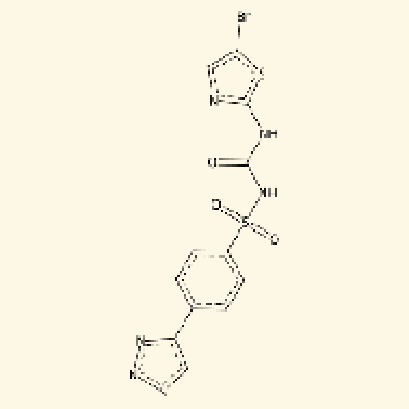 O=C(Nc1ncc(Br)s1)NS(=O)(=O)c1ccc(-c2csnn2)cc1